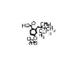 CC(C)(C)C(C)(C)Cc1cc(OS(=O)(=O)Cl)ccc1C(=O)O